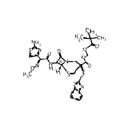 CON=C(C(=O)NC1C(=O)N2CC(Sc3nc4ccccc4s3)(C(=O)OCOC(=O)C(C)(C)C)CS[C@H]12)c1csc(N)n1